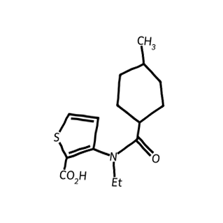 CCN(C(=O)C1CCC(C)CC1)c1ccsc1C(=O)O